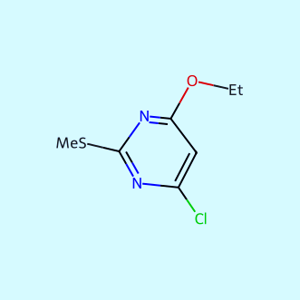 CCOc1cc(Cl)nc(SC)n1